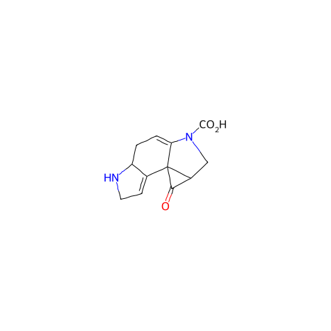 O=C(O)N1CC2C(=O)C23C2=CCNC2CC=C13